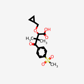 CC(C)(C(=O)c1ccc(S(C)(=O)=O)cc1)C(OCC1CC1)C(=O)O